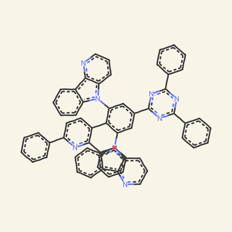 c1ccc(-c2ccc(-c3c(-n4c5ccccc5c5ncccc54)cc(-c4nc(-c5ccccc5)nc(-c5ccccc5)n4)cc3-n3c4ccccc4c4ncccc43)c(-c3ccccc3)n2)cc1